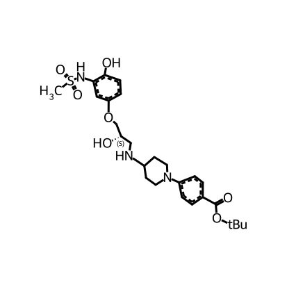 CC(C)(C)OC(=O)c1ccc(N2CCC(NC[C@H](O)COc3ccc(O)c(NS(C)(=O)=O)c3)CC2)cc1